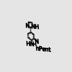 CCCCCc1nc2cc(-c3ncc[nH]3)ccc2[nH]1